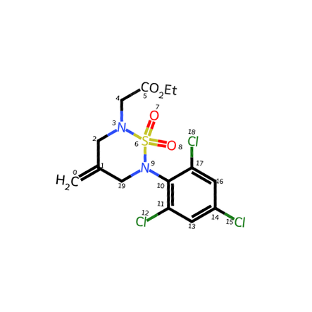 C=C1CN(CC(=O)OCC)S(=O)(=O)N(c2c(Cl)cc(Cl)cc2Cl)C1